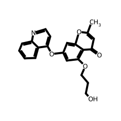 Cc1cc(=O)c2c(OCCCO)cc(Oc3ccnc4ccccc34)cc2o1